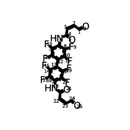 O=C/C=C\C(=O)Nc1c(F)c(F)c(-c2c(F)c(F)c(NC(=O)/C=C\C=O)c(F)c2F)c(F)c1F